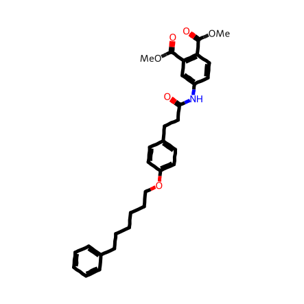 COC(=O)c1ccc(NC(=O)CCc2ccc(OCCCCCCc3ccccc3)cc2)cc1C(=O)OC